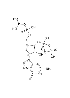 Nc1nc2c(ncn2[C@@H]2O[C@H](COP(=O)(O)OP(O)O)C(OP(=O)(O)OP(=O)(O)O)C2O)c(=O)[nH]1